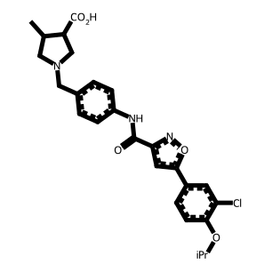 CC(C)Oc1ccc(-c2cc(C(=O)Nc3ccc(CN4CC(C)C(C(=O)O)C4)cc3)no2)cc1Cl